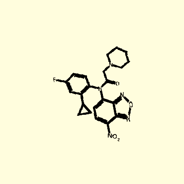 O=C(CN1CCCCC1)N(c1ccc(F)cc1C1CC1)c1ccc([N+](=O)[O-])c2nonc12